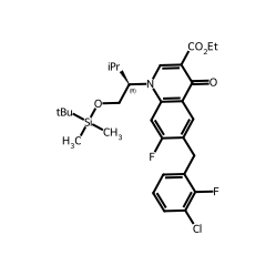 CCOC(=O)c1cn([C@@H](CO[Si](C)(C)C(C)(C)C)C(C)C)c2cc(F)c(Cc3cccc(Cl)c3F)cc2c1=O